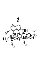 Cc1nc([C@H](Nc2cc(C#N)c3ncc(C#N)c(NCC(C)(C)C)c3c2)C2=CN(C3(C(F)F)CC3)NN2)c(C)o1